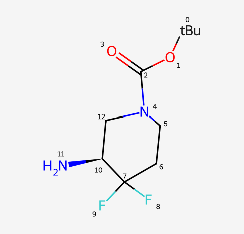 CC(C)(C)OC(=O)N1CCC(F)(F)[C@@H](N)C1